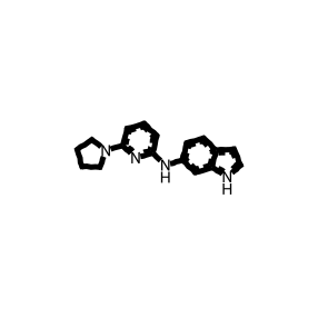 c1cc(Nc2ccc3cc[nH]c3c2)nc(N2CCCC2)c1